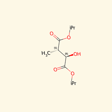 CC(C)OC(=O)[C@@H](C)[C@@H](O)C(=O)OC(C)C